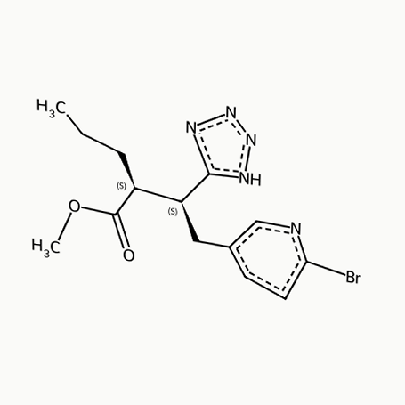 CCC[C@H](C(=O)OC)[C@H](Cc1ccc(Br)nc1)c1nnn[nH]1